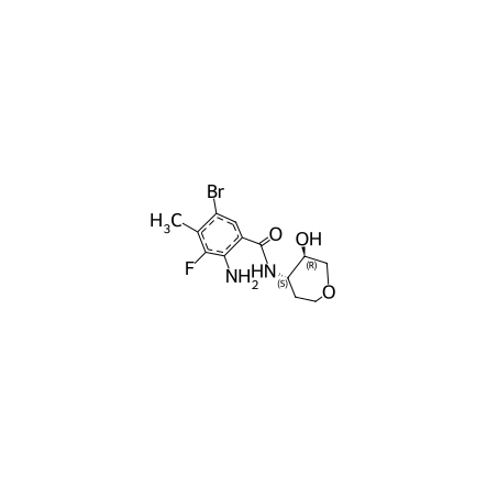 Cc1c(Br)cc(C(=O)N[C@H]2CCOC[C@@H]2O)c(N)c1F